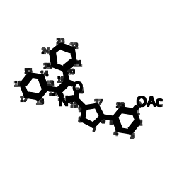 CC(=O)Oc1cccc(C2CCC(c3nc(-c4ccccc4)c(-c4ccccc4)o3)C2)c1